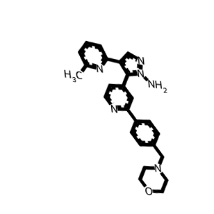 Cc1cccc(-c2cnn(N)c2-c2ccnc(-c3ccc(CN4CCOCC4)cc3)c2)n1